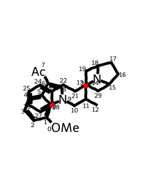 COc1cccc2c(C(C)=O)cn(CC(C)CN3C4CCC3CC(CCc3ccccc3)C4)c12